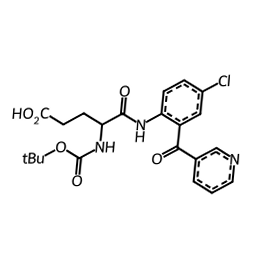 CC(C)(C)OC(=O)NC(CCC(=O)O)C(=O)Nc1ccc(Cl)cc1C(=O)c1cccnc1